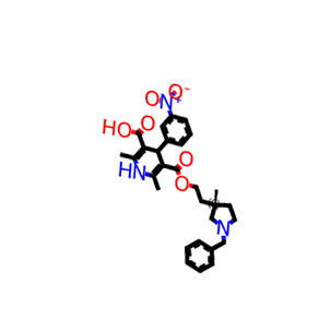 CC1=C(C(=O)O)C(c2cccc([N+](=O)[O-])c2)C(C(=O)OCC[C@]2(C)CCN(Cc3ccccc3)C2)=C(C)N1